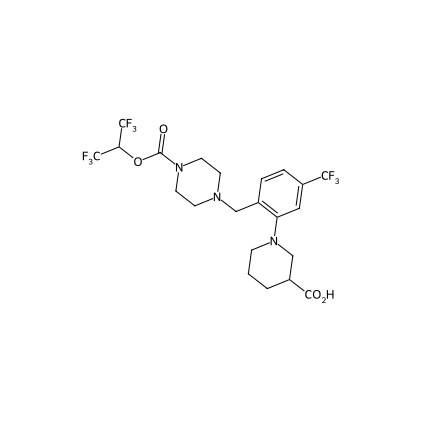 O=C(O)C1CCCN(c2cc(C(F)(F)F)ccc2CN2CCN(C(=O)OC(C(F)(F)F)C(F)(F)F)CC2)C1